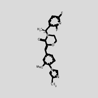 COc1cc(C=C2OCCN([C@@H](C)c3ccc(F)nc3F)C2=O)ccc1-n1cnc(C)c1